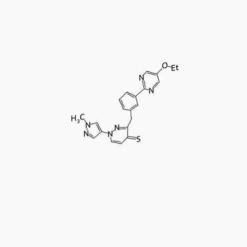 CCOc1cnc(-c2cccc(Cc3nn(-c4cnn(C)c4)ccc3=S)c2)nc1